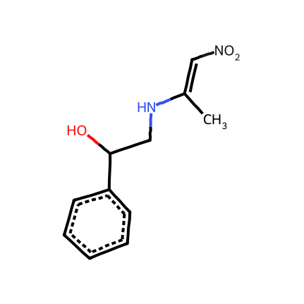 C/C(=C\[N+](=O)[O-])NCC(O)c1ccccc1